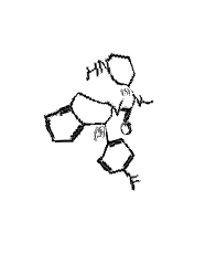 CN(C(=O)N1CCc2ccccc2[C@@H]1c1ccc(F)cc1)[C@H]1CCCNC1